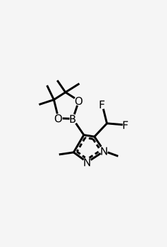 Cc1nn(C)c(C(F)F)c1B1OC(C)(C)C(C)(C)O1